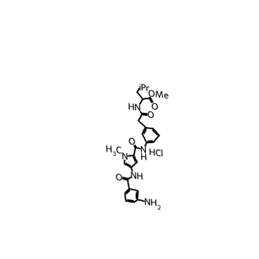 COC(=O)C(CC(C)C)NC(=O)Cc1cccc(NC(=O)c2cc(NC(=O)c3cccc(N)c3)cn2C)c1.Cl